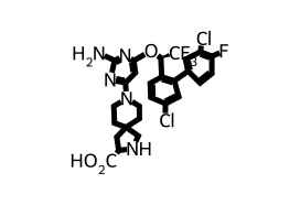 Nc1nc(O[C@H](c2ccc(Cl)cc2-c2ccc(F)c(Cl)c2)C(F)(F)F)cc(N2CCC3(CC2)CNC(C(=O)O)C3)n1